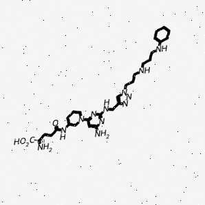 Nc1cc(N2CCCC(NC(=O)CC[C@H](N)C(=O)O)C2)nc(NCc2cn(CCCNCCCNC3CCCCC3)nn2)n1